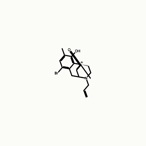 C=CCN1CC[C@@]23CC(=O)CCC2C1Cc1c(Br)cc(C)c(O)c13